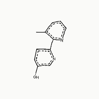 Cc1cccnc1-c1ccc(O)cn1